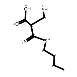 CCCCSC(=S)C(CS)C(=O)O